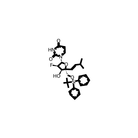 CC(C)/C=C/[C@]1(CO[Si](c2ccccc2)(c2ccccc2)C(C)(C)C)O[C@@H](n2ccc(=O)[nH]c2=O)[C@H](F)[C@@H]1O